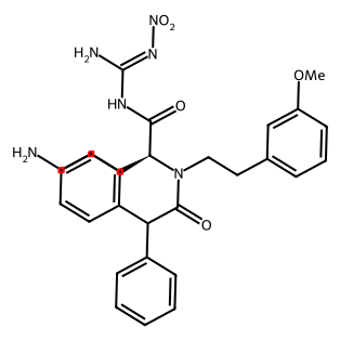 COc1cccc(CCN(C(=O)C(c2ccccc2)c2ccccc2)[C@@H](CCCN)C(=O)NC(N)=N[N+](=O)[O-])c1